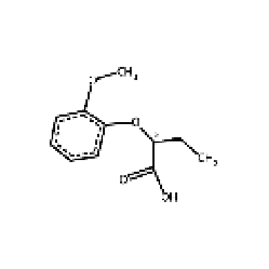 CC[C@H](Oc1ccccc1OC)C(=O)O